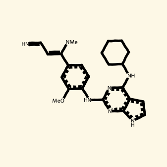 CN/C(=C\C=N)c1ccc(Nc2nc(NC3CCCCC3)c3cc[nH]c3n2)c(OC)c1